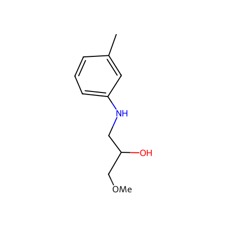 COCC(O)CNc1cccc(C)c1